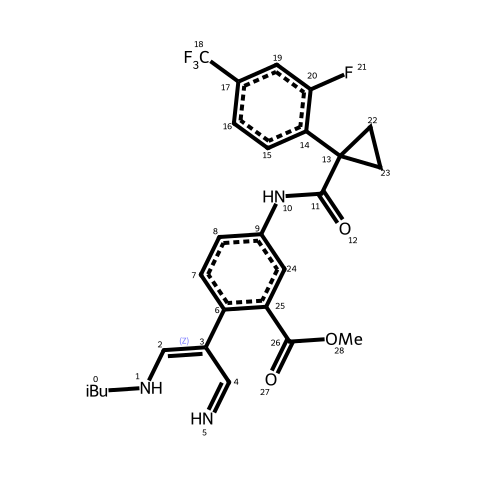 CCC(C)N/C=C(\C=N)c1ccc(NC(=O)C2(c3ccc(C(F)(F)F)cc3F)CC2)cc1C(=O)OC